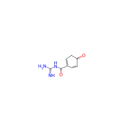 N=C(N)NC(=O)C1=CCC(=O)C=C1